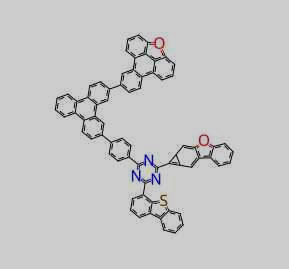 C1=c2oc3ccccc3c2=CC2=C(c3nc(-c4ccc(-c5ccc6c7ccccc7c7ccc(-c8ccc9c(c8)c8cccc%10oc%11cccc9c%11c%108)cc7c6c5)cc4)nc(-c4cccc5c4sc4ccccc45)n3)C12